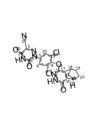 N#Cc1nn(-c2cc(Cl)c(Oc3n[nH]c(=O)c4c3C3CC[C@@H]4C3)c(Cl)c2)c(=O)[nH]c1=O